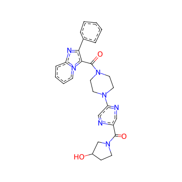 O=C(c1cnc(N2CCN(C(=O)c3c(-c4ccccc4)nc4ccccn34)CC2)cn1)N1CCC(O)C1